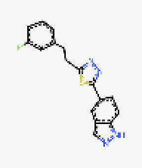 Fc1cccc(CCc2nnc(-c3ccc4[nH]ncc4c3)s2)c1